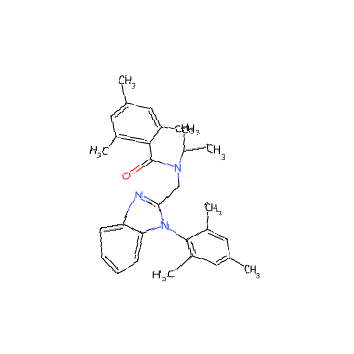 Cc1cc(C)c(C(=O)N(Cc2nc3ccccc3n2-c2c(C)cc(C)cc2C)C(C)C)c(C)c1